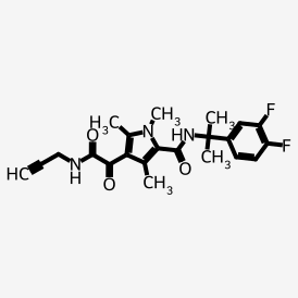 C#CCNC(=O)C(=O)c1c(C)c(C(=O)NC(C)(C)c2ccc(F)c(F)c2)n(C)c1C